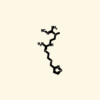 CN(CCNC(N)=NCCSCc1ccon1)C(N)=NC#N